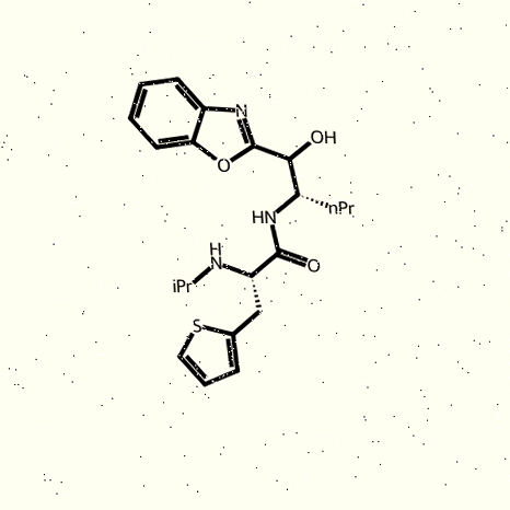 CCC[C@H](NC(=O)[C@H](Cc1cccs1)NC(C)C)C(O)c1nc2ccccc2o1